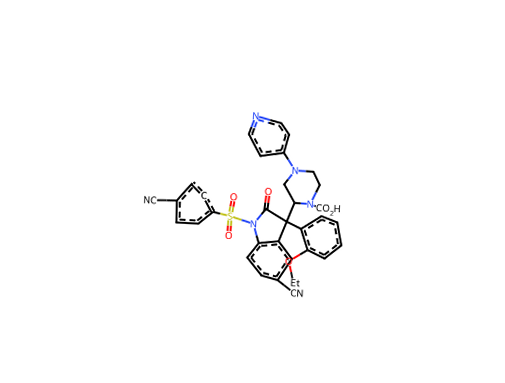 CCOc1ccccc1C1(C2CN(c3ccncc3)CCN2C(=O)O)C(=O)N(S(=O)(=O)c2ccc(C#N)cc2)c2ccc(C#N)cc21